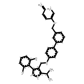 C=C/C=C\C(=C/C)OCc1cccc(-c2ccc(OCc3c(-c4c(Cl)cccc4Cl)noc3C(C)C)cc2)c1